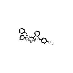 FC(F)(F)c1ccc(Nc2ccccc2-c2nnn(CC3(OCc4ccccc4)C=CSC3)n2)cc1